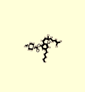 CCCCCc1cc(OC(=O)N2CCN(C)CC2)c2c(c1)OC(C)(CCC=C(C)C)C=C2